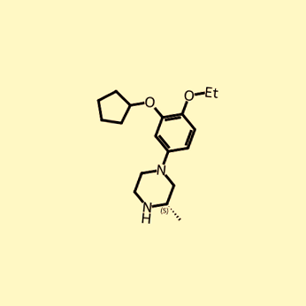 CCOc1ccc(N2CCN[C@@H](C)C2)cc1OC1CCCC1